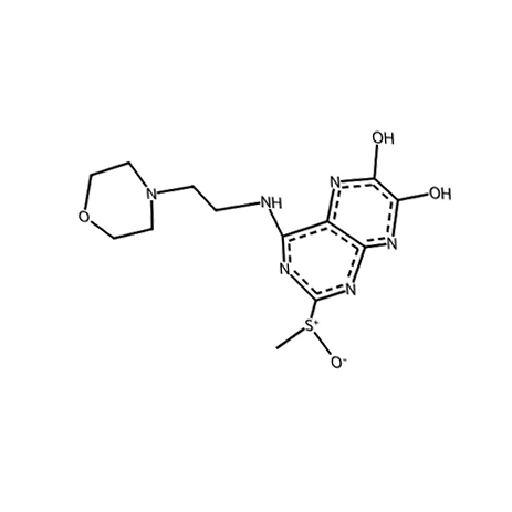 C[S+]([O-])c1nc(NCCN2CCOCC2)c2nc(O)c(O)nc2n1